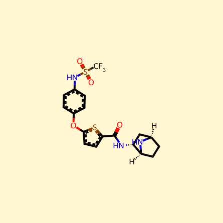 O=C(N[C@@H]1C[C@H]2CC[C@@H]1N2)c1ccc(Oc2ccc(NS(=O)(=O)C(F)(F)F)cc2)s1